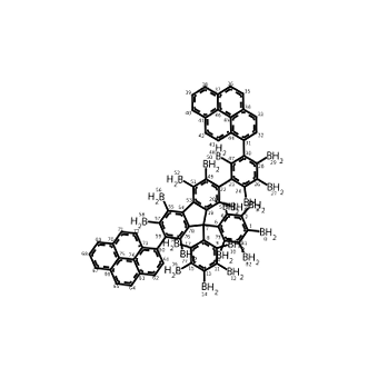 Bc1c(B)c(B)c(C2(c3c(B)c(B)c(B)c(B)c3B)c3c(B)c(-c4c(B)c(B)c(B)c(-c5ccc6ccc7cccc8ccc5c6c78)c4B)c(B)c(B)c3-c3c(B)c(B)c(-c4ccc5ccc6cccc7ccc4c5c67)c(B)c32)c(B)c1B